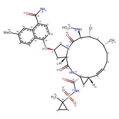 CC[C@@H]1C[C@H](C)CC/C=C\[C@@H]2C[C@@]2(C(=O)NS(=O)(=O)C2(C)CC2)NC(=O)[C@@H]2C[C@@H](Oc3ncc(C(N)=O)c4cc(OC)ccc34)CN2C(=O)[C@H]1NC(=O)O